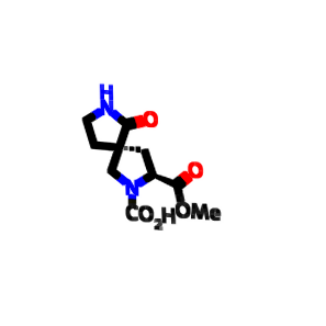 COC(=O)[C@@H]1C[C@@]2(CCNC2=O)CN1C(=O)O